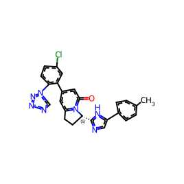 Cc1ccc(-c2cnc([C@@H]3CCc4cc(-c5cc(Cl)ccc5-n5cnnn5)cc(=O)n43)[nH]2)cc1